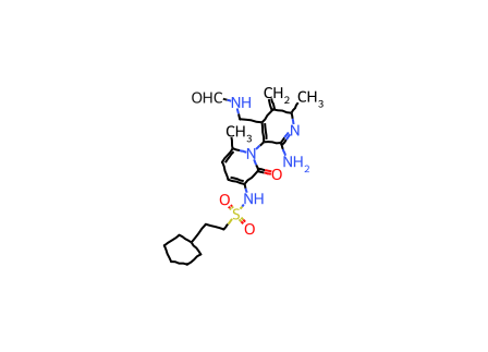 C=C1C(CNC=O)=C(n2c(C)ccc(NS(=O)(=O)CCC3CCCCC3)c2=O)C(N)=NC1C